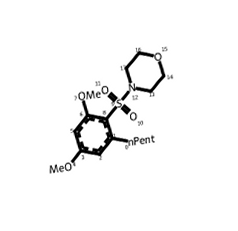 CCCCCc1cc(OC)cc(OC)c1S(=O)(=O)N1CCOCC1